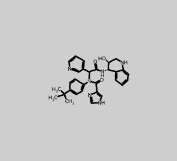 CC(C)(C)c1ccc(N(C(=O)c2c[nH]cn2)C(C(=O)N[C@H]2c3ccccc3NC[C@@H]2O)c2cccnc2)cc1